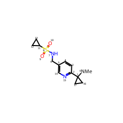 CNC1(c2ccc(CNS(=O)(=O)C3CC3)cn2)CC1